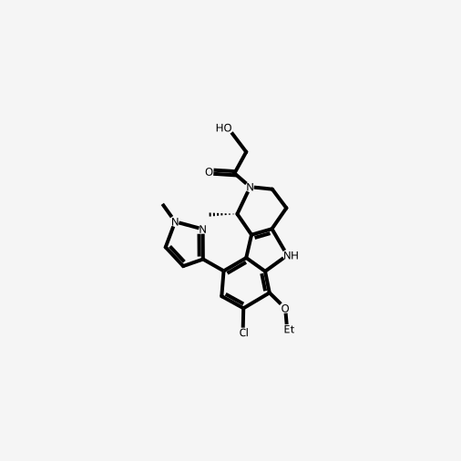 CCOc1c(Cl)cc(-c2ccn(C)n2)c2c3c([nH]c12)CCN(C(=O)CO)[C@H]3C